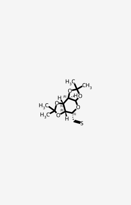 CC1(C)O[C@@H]2[C@H](O1)[C@H]1OC(C)(C)OC1O[C@@H]2C=S